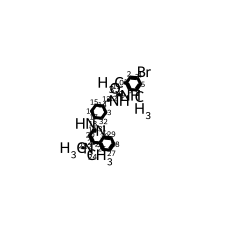 Cc1cc(Br)cc(C)c1NC(=O)NC[C@H]1CC[C@@H](Nc2cc(N(C)C)c3ccccc3n2)CC1